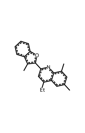 CCc1cc(-c2oc3ccccc3c2C)nc2c(C)cc(C)cc12